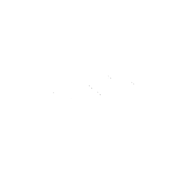 CC(=O)C1CCCN(c2ccn[c]n2)NC1